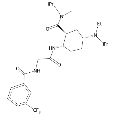 CCN(C(C)C)[C@@H]1CC[C@H](NC(=O)CNC(=O)c2cccc(C(F)(F)F)c2)[C@@H](C(=O)N(C)C(C)C)C1